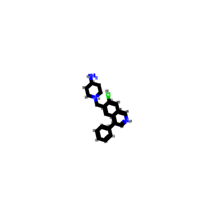 NC1CCN(Cc2cc3c(-c4ccccc4)cncc3cc2Cl)CC1